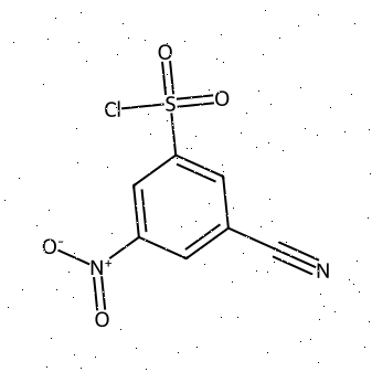 N#Cc1cc([N+](=O)[O-])cc(S(=O)(=O)Cl)c1